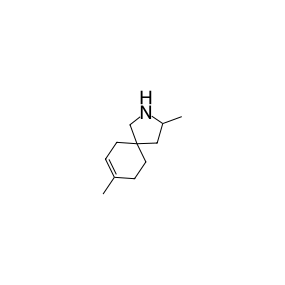 CC1=CCC2(CC1)CNC(C)C2